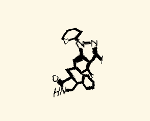 O=C1NCC(c2ccccc2)/C1=C\c1cc(F)c2c(I)nn(C3CCCCO3)c2c1